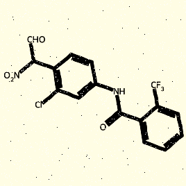 O=CC(c1ccc(NC(=O)c2ccccc2C(F)(F)F)cc1Cl)[N+](=O)[O-]